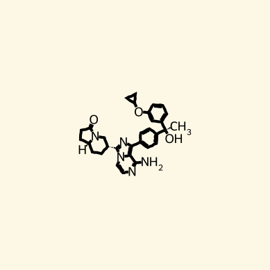 C[C@](O)(c1ccc(-c2nc([C@@H]3CC[C@H]4CCC(=O)N4C3)n3ccnc(N)c23)cc1)c1cccc(OC2CC2)c1